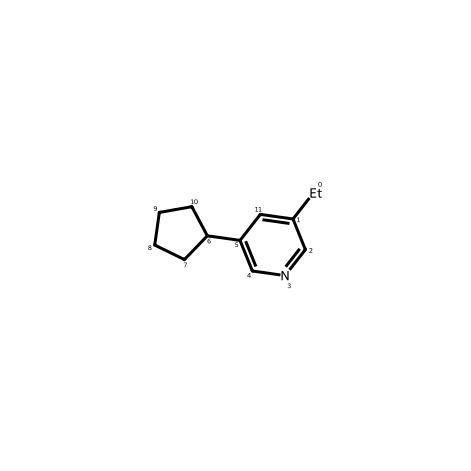 CCc1cncc(C2CCCC2)c1